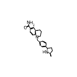 C=C1CCC(c2ccc(CN3CCCc4cc(C(N)=O)ccc43)cc2)N1